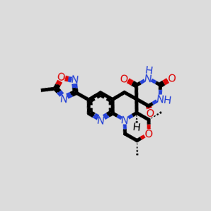 Cc1nc(-c2cnc3c(c2)CC2(C(=O)NC(=O)NC2=O)[C@H]2[C@H](C)O[C@H](C)CN32)no1